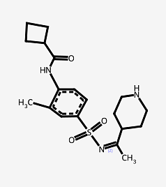 C/C(=N/S(=O)(=O)c1ccc(NC(=O)C2CCC2)c(C)c1)C1CCNCC1